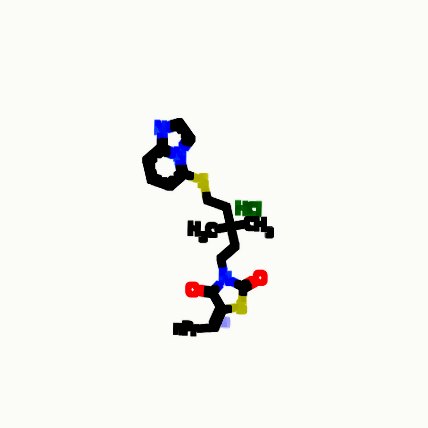 CCC/C=C1/SC(=O)N(CCC(C)(C)CCSc2cccc3nccn23)C1=O.Cl